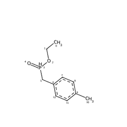 CCO[PH](=O)Cc1ccc(C)cc1